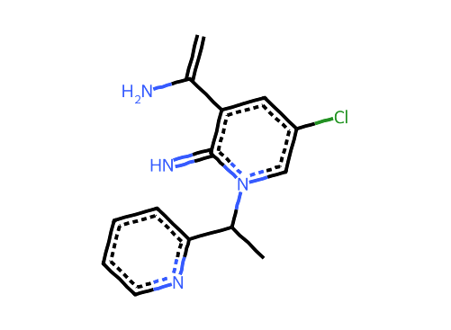 C=C(N)c1cc(Cl)cn(C(C)c2ccccn2)c1=N